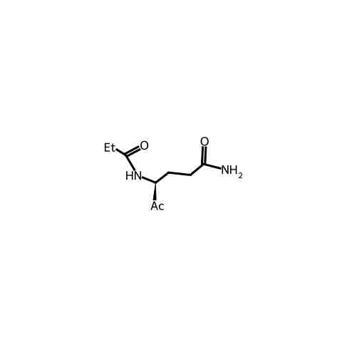 CCC(=O)N[C@@H](CCC(N)=O)C(C)=O